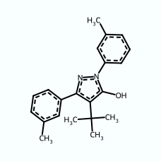 Cc1cccc(-c2nn(-c3cccc(C)c3)c(O)c2C(C)(C)C)c1